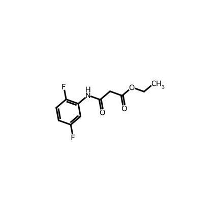 CCOC(=O)CC(=O)Nc1cc(F)ccc1F